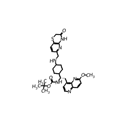 COc1ccc2nccc(C[C@H](NC(=O)OC(C)(C)C)C3CCC(NCc4ccc5c(n4)NC(=O)CS5)CC3)c2n1